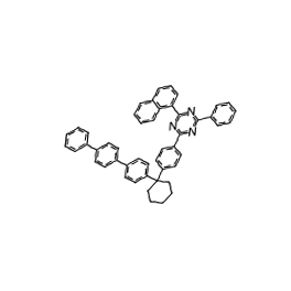 c1ccc(-c2ccc(-c3ccc(C4(c5ccc(-c6nc(-c7ccccc7)nc(-c7cccc8ccccc78)n6)cc5)CCCCC4)cc3)cc2)cc1